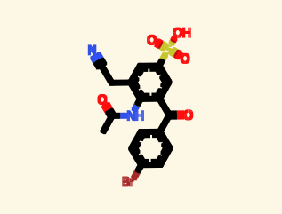 CC(=O)Nc1c(CC#N)cc(S(=O)(=O)O)cc1C(=O)c1ccc(Br)cc1